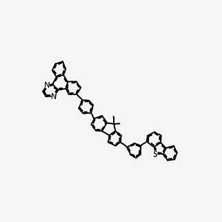 CC1(C)c2cc(-c3ccc(-c4ccc5c6ccccc6c6nccnc6c5c4)cc3)ccc2-c2ccc(-c3cccc(-c4cccc5c4sc4ccccc45)c3)cc21